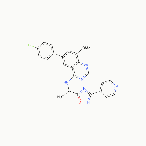 COc1cc(-c2ccc(F)cc2)cc2c(NC(C)c3nc(-c4ccncc4)no3)ncnc12